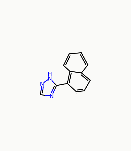 [c]1ccc2ccccc2c1-c1ncn[nH]1